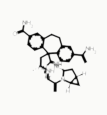 C=C(N)c1ccc2c(c1)CCc1cc(C(N)=O)ccc1C2(C[C@@H](C)NCC(=C)N1C(C#N)C[C@@H]2C[C@@H]21)C(=N)NC(C)C